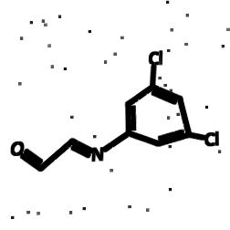 O=CC=Nc1cc(Cl)cc(Cl)c1